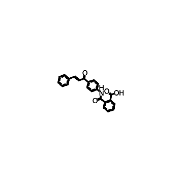 O=C(/C=C/c1ccccc1)c1ccc(NC(=O)c2ccccc2C(=O)O)cc1